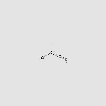 CS(=O)[O-].[K+]